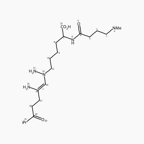 CNCCCC(=O)NC(CCCCN(N)/C=C(\N)CCC(=O)C(C)C)C(=O)O